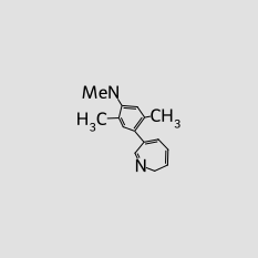 CNc1cc(C)c(C2=CC=CCN=C2)cc1C